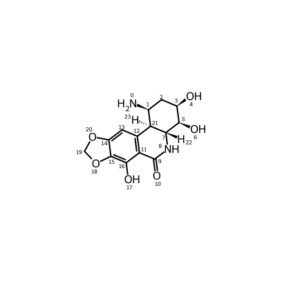 N[C@H]1C[C@@H](O)[C@@H](O)[C@@H]2NC(=O)c3c(cc4c(c3O)OCO4)[C@H]21